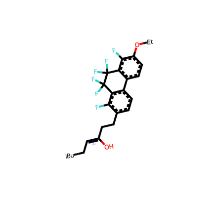 CCOc1ccc2c(c1F)C(F)(F)C(F)(F)c1c-2ccc(CC/C(O)=C/CC(C)CC)c1F